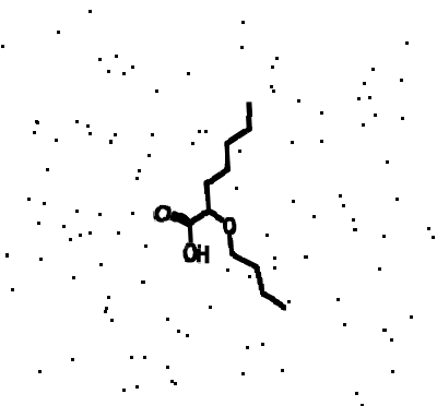 CCCCCC(OCCCC)C(=O)O